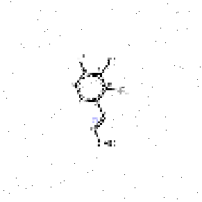 O=[C]/C=C/c1ccc(F)c(F)c1F